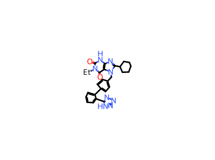 CCn1c(=O)[nH]c2nc(C3CCCCC3)n(Cc3ccc(-c4ccccc4-c4nnn[nH]4)cc3)c2c1=O